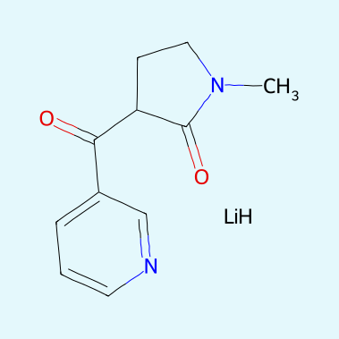 CN1CCC(C(=O)c2cccnc2)C1=O.[LiH]